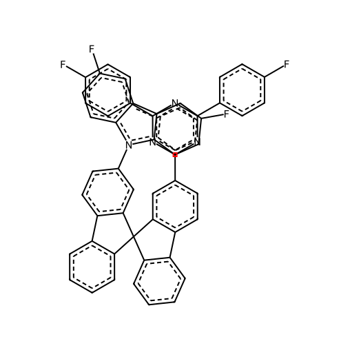 Fc1ccc(-c2nc(-c3ccc(F)cc3)nc(-c3ccc4c(c3)C3(c5ccccc5-4)c4ccccc4-c4ccc(-n5c6ccc(F)cc6c6cc(F)ccc65)cc43)n2)cc1